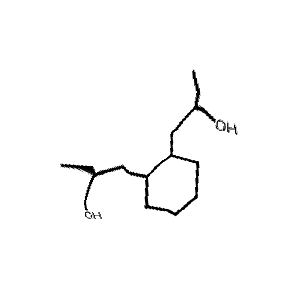 CC(O)CC1CCCCC1CC(C)O